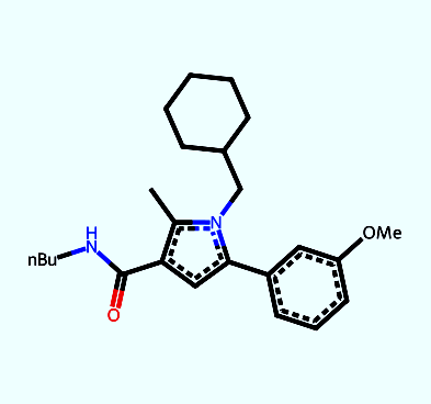 CCCCNC(=O)c1cc(-c2cccc(OC)c2)n(CC2CCCCC2)c1C